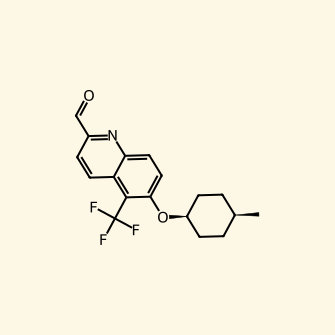 C[C@H]1CC[C@@H](Oc2ccc3nc(C=O)ccc3c2C(F)(F)F)CC1